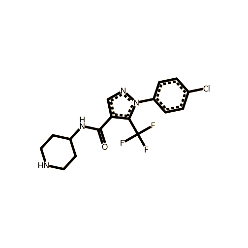 O=C(NC1CCNCC1)c1cnn(-c2ccc(Cl)cc2)c1C(F)(F)F